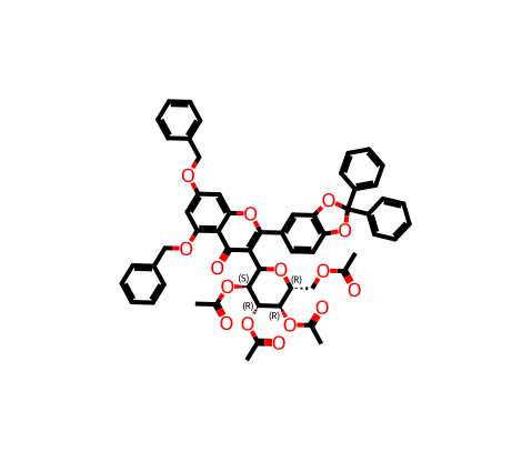 CC(=O)OC[C@H]1OC(c2c(-c3ccc4c(c3)OC(c3ccccc3)(c3ccccc3)O4)oc3cc(OCc4ccccc4)cc(OCc4ccccc4)c3c2=O)[C@H](OC(C)=O)[C@@H](OC(C)=O)[C@@H]1OC(C)=O